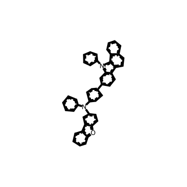 c1ccc(N(c2ccc(-c3ccc4c5ccc6ccccc6c5n(-c5ccccc5)c4c3)cc2)c2ccc3oc4ccccc4c3c2)cc1